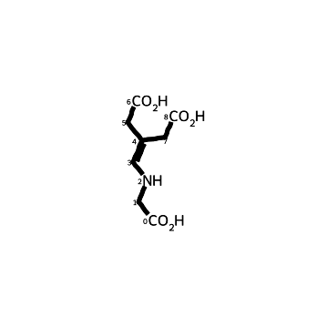 O=C(O)CNC=C(CC(=O)O)CC(=O)O